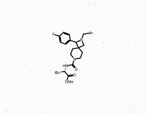 CC[C@H](C)[C@H](NC(=O)N1CCC2(CC1)CN(CC(C)C)C2c1ccc(F)cc1)C(=O)OC